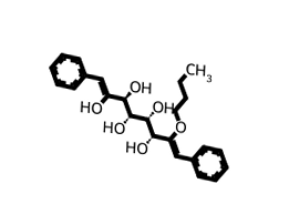 CCCCOC(=Cc1ccccc1)[C@H](O)[C@@H](O)[C@H](O)[C@H](O)C(O)=Cc1ccccc1